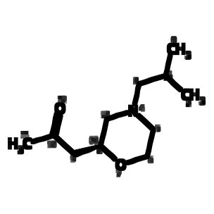 C[C](C)CN1CCO[C@@H](CC(C)=O)C1